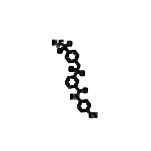 CS(=O)(=O)c1ccc(CS(=O)(=O)c2cccc(C(=O)Nc3ccc(C#N)cc3)c2)cc1